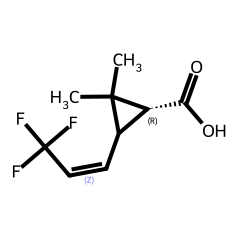 CC1(C)C(/C=C\C(F)(F)F)[C@H]1C(=O)O